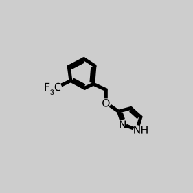 FC(F)(F)c1cccc(COc2cc[nH]n2)c1